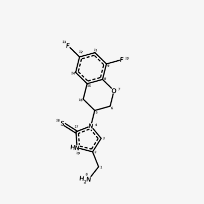 NCc1cn(C2COc3c(F)cc(F)cc3C2)c(=S)[nH]1